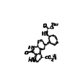 CC(C)(C)OC(=O)Nc1ccccc1-c1ccc2[nH]c(=O)c3[nH]cc(C(=O)O)c3c2c1